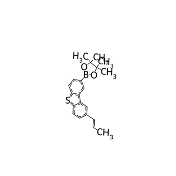 C/C=C/c1ccc2sc3ccc(B4OC(C)(C)C(C)(C)O4)cc3c2c1